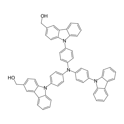 OCc1ccc2c(c1)c1ccccc1n2-c1ccc(N(c2ccc(-n3c4ccccc4c4ccccc43)cc2)c2ccc(-n3c4ccccc4c4cc(CO)ccc43)cc2)cc1